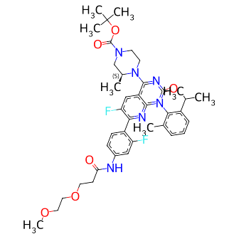 COCCOCCC(=O)Nc1ccc(-c2nc3c(cc2F)c(N2CCN(C(=O)OC(C)(C)C)C[C@@H]2C)nc(=O)n3-c2c(C)cccc2C(C)C)c(F)c1